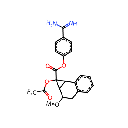 COC1Cc2ccccc2C2C1C2(OC(=O)C(F)(F)F)C(=O)Oc1ccc(C(=N)N)cc1